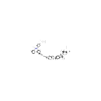 CC/C(=C(\c1ccc(O)cc1)c1ccc(OCCCCN2CCC3(CC2)CN(c2ccc4c(c2)CN(C2CCC(=O)NC2=O)C4=O)C3)cc1)c1ccccc1